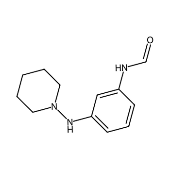 O=CNc1cccc(NN2CCCCC2)c1